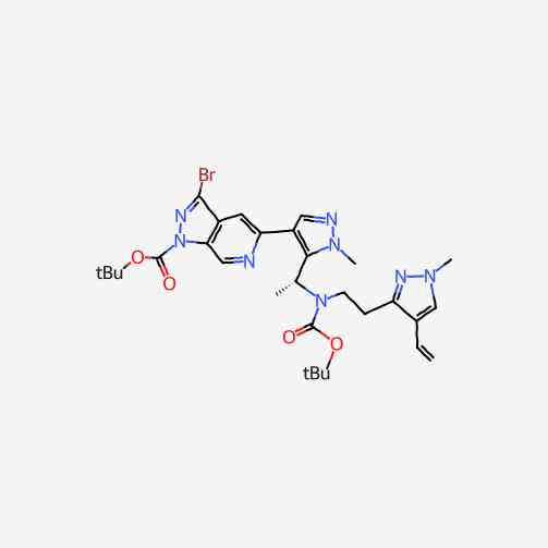 C=Cc1cn(C)nc1CCN(C(=O)OC(C)(C)C)[C@H](C)c1c(-c2cc3c(Br)nn(C(=O)OC(C)(C)C)c3cn2)cnn1C